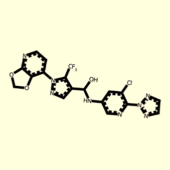 OC(Nc1cnc(-n2nccn2)c(Cl)c1)c1cnn(-c2ccnc3c2OCO3)c1C(F)(F)F